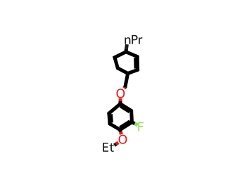 CCCC1C=CC(COc2ccc(OCC)c(F)c2)CC1